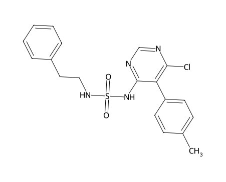 Cc1ccc(-c2c(Cl)ncnc2NS(=O)(=O)NCCc2ccccc2)cc1